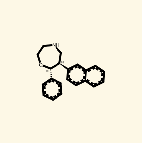 c1ccc([C@@H]2OCCNC[C@H]2c2ccc3ccccc3c2)cc1